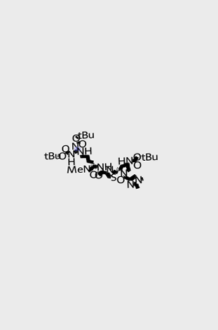 CNC(=O)[C@H](CCCCN/C(=N\C(=O)OC(C)(C)C)NC(=O)OC(C)(C)C)NC(=O)c1csc([C@@H]2C[C@@H](NC(=O)OC(C)(C)C)CN2C(=O)c2cn(C)c(C)n2)n1